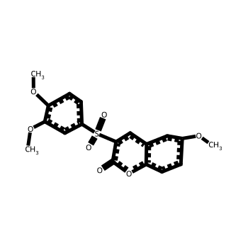 COc1ccc2oc(=O)c(S(=O)(=O)c3ccc(OC)c(OC)c3)cc2c1